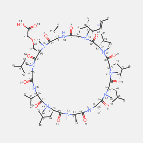 C/C=C/C[C@@H](C)C[C@H]1C(=O)N[C@@H](CC)C(=O)N(C)[C@H](COCC(=O)O)C(=O)N(C)[C@@H](CC(C)C)C(=O)N[C@H](C(C)C)C(=O)N(C)[C@H](CC(C)C)C(=O)N[C@H](C)C(=O)N[C@@H](C)C(=O)N(C)[C@@H](CC(C)C)C(=O)N(C)[C@@H](CC(C)C)C(=O)N(C)[C@@H](C(C)C)C(=O)N1C